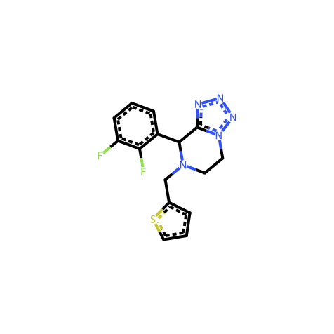 Fc1cccc(C2c3nnnn3CCN2Cc2cccs2)c1F